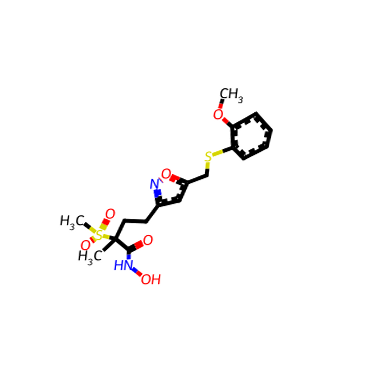 COc1ccccc1SCc1cc(CCC(C)(C(=O)NO)S(C)(=O)=O)no1